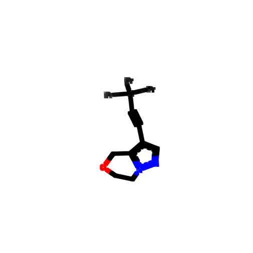 CC(C)[Si](C#Cc1cnn2c1COCC2)(C(C)C)C(C)C